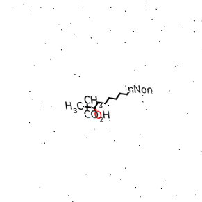 CCCCCCCCCCCCCCCC(=O)C(C)(C)C(=O)O